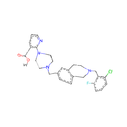 CC(C)OC(=O)c1cccnc1N1CCN(Cc2ccc3c(c2)CCN(Cc2c(F)cccc2Cl)C3)CC1